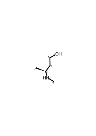 CN[C@@H](C)CCO